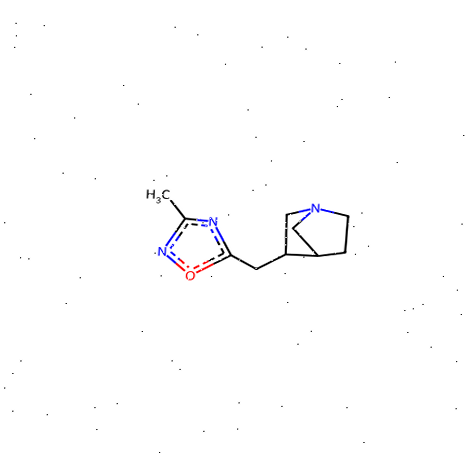 Cc1noc(CC2CN3CCC2C3)n1